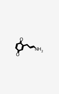 NC=CCC1=CC(=O)C=CC1=O